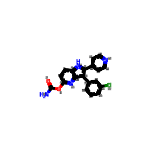 NC(=O)Oc1ccc2[nH]c(-c3ccncc3)c(-c3cccc(Cl)c3)c2n1